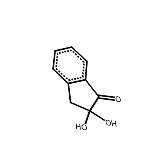 O=C1c2ccccc2CC1(O)O